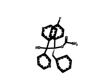 NC(=O)O[C@](Cc1ccccc1)(c1ccc(F)cc1)C(O)(c1cccnc1)c1cccnc1